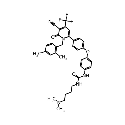 Cc1ccc(Cn2c(-c3ccc(Oc4ccc(NC(=O)NCCCCN(C)C)cc4)cc3)cc(C(F)(F)F)c(C#N)c2=O)c(C)c1